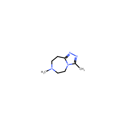 Cc1nnc2n1CCN(C)CC2